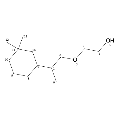 CC(COCCO)C1CCCC(C)(C)C1